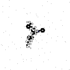 CCNC(=O)Nc1ncnc2c1ncn2C1OC(CN(Cc2c(F)cccc2C(=O)O)C(C)=O)C2O[C@H](/C=C/c3ccccc3)OC21